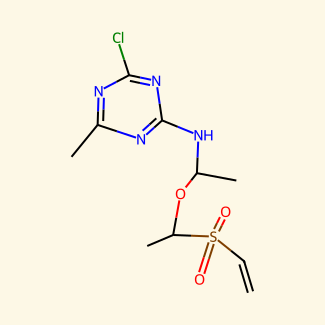 C=CS(=O)(=O)C(C)OC(C)Nc1nc(C)nc(Cl)n1